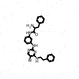 NC(Cc1ccccc1)C(=O)Nc1cccc(Nc2ncc(Br)c(NCCc3ccccc3)n2)c1